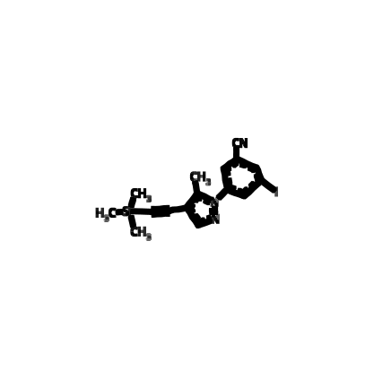 Cc1c(C#C[Si](C)(C)C)cnn1-c1cc(I)cc(C#N)c1